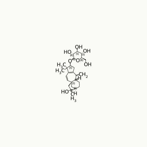 C=C1C2=C(C=C[C@@]34C[C@@H](CC[C@@H]13)[C@](C)(O)C4)C(C)(C)[C@@H](O[C@@H]1O[C@H](CO)[C@@H](O)[C@H](O)[C@H]1O)C2